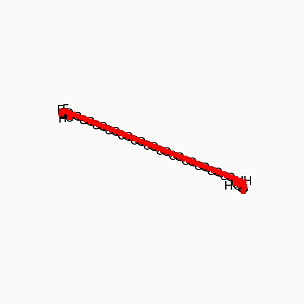 C[C@@H](NC(=O)CCOCCOCCOCCOCCOCCOCCOCCOCCOCCOCCOCCOCCOCCOCCOCCOCCOCCOCCOCCOCCOCCOCCOCCOCCOCCC(=O)Oc1c(F)c(F)cc(F)c1F)C(O)N1CCCC1